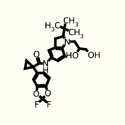 CC(C)(C)C1Cc2cc(NC(=O)C3(c4ccc5c(c4)OC(F)(F)O5)CC3)ccc2N1CC(O)CO